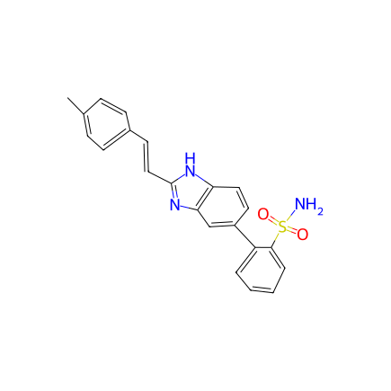 Cc1ccc(C=Cc2nc3cc(-c4ccccc4S(N)(=O)=O)ccc3[nH]2)cc1